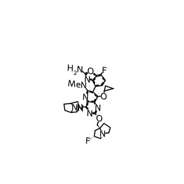 CNc1nc2c(N3CC4CCC(C3)N4)nc(OC[C@@]34CCCN3C[C@H](F)C4)nc2c(OC2CC2)c1-c1ccc(F)c2oc(N)nc12